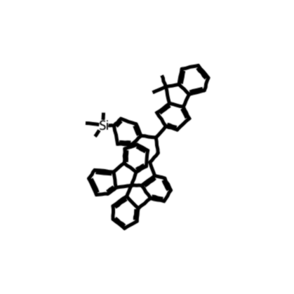 CC1(C)c2ccccc2-c2ccc(C(CCc3cccc4c3C3(c5ccccc5-c5ccccc53)c3ccccc3-4)c3ccc([Si](C)(C)C)cc3)cc21